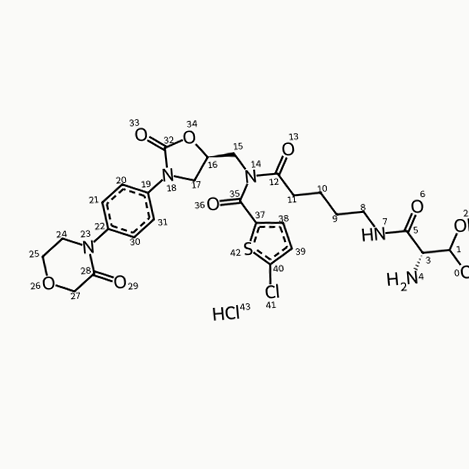 CC(O)[C@H](N)C(=O)NCCCCC(=O)N(C[C@H]1CN(c2ccc(N3CCOCC3=O)cc2)C(=O)O1)C(=O)c1ccc(Cl)s1.Cl